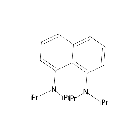 CC(C)N(c1cccc2cccc(N(C(C)C)C(C)C)c12)C(C)C